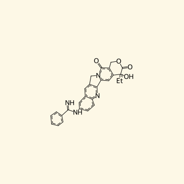 CC[C@@]1(O)C(=O)OCc2c1cc1n(c2=O)Cc2cc3cc(NC(=N)c4ccccc4)ccc3nc2-1